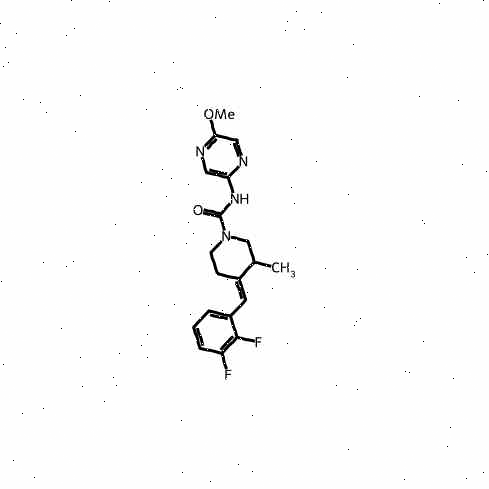 COc1cnc(NC(=O)N2CCC(=Cc3cccc(F)c3F)C(C)C2)cn1